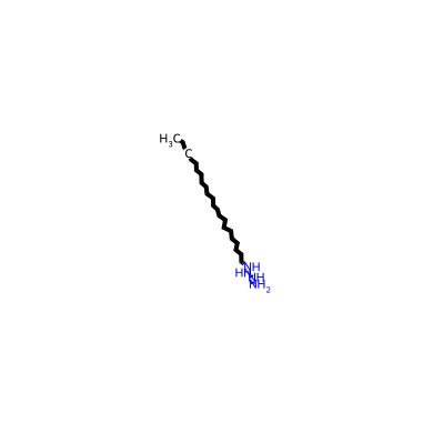 CCCCCCCCCCCCCCCCCCCCCCCNNNN